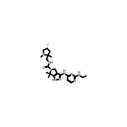 CCNc1nccc(Nc2n[nH]c3c2CN(C(=O)NCC2(C)C[C@@H](C)CN2C)C3(C)C)n1